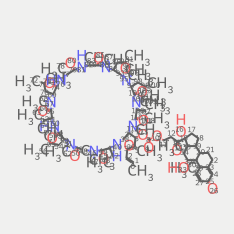 C/C=C/C[C@@H](C)C(OC(=O)O[CH]CC(=O)[C@@]1(O)CCC2C3CCC4=CC(=O)C=C[C@]4(C)C3[C@@H](O)C[C@@]21C)C1C(=O)NC(CC)C(=O)N(C)CC(=O)N(C)[C@@H](CC(C)C)C(=O)NC(C(C)C)C(=O)N(C)C(CC(C)C)C(=O)NC(C)C(=O)NC(C)C(=O)N(C)C(CC(C)C)C(=O)N(C)C(CC(C)C)C(=O)N(C)C(C(C)C)C(=O)N1C